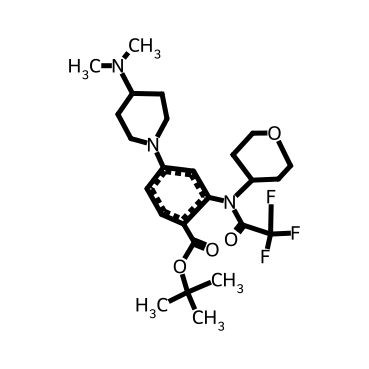 CN(C)C1CCN(c2ccc(C(=O)OC(C)(C)C)c(N(C(=O)C(F)(F)F)C3CCOCC3)c2)CC1